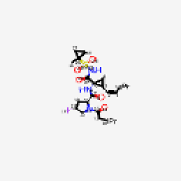 CC(C)/C=C\[C@@H]1C[C@]1(NC(=O)[C@@H]1C[C@@H](I)CN1C(=O)CC(C)C)C(=O)NS(=O)(=O)C1(C)CC1